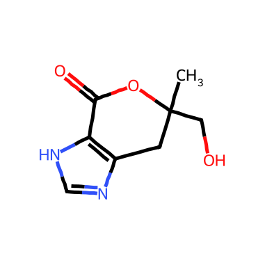 CC1(CO)Cc2nc[nH]c2C(=O)O1